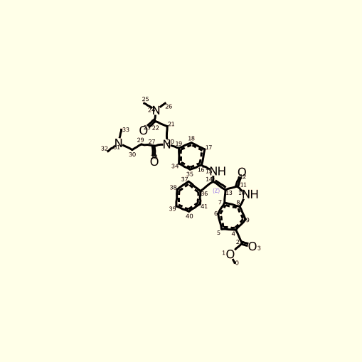 COC(=O)c1ccc2c(c1)NC(=O)/C2=C(\Nc1ccc(N(CC(=O)N(C)C)C(=O)CCN(C)C)cc1)c1ccccc1